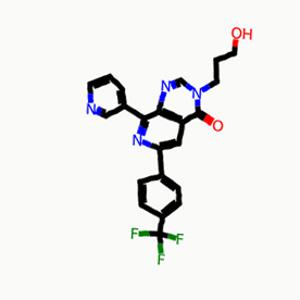 O=c1c2cc(-c3ccc(C(F)(F)F)cc3)nc(-c3cccnc3)c2ncn1CCCO